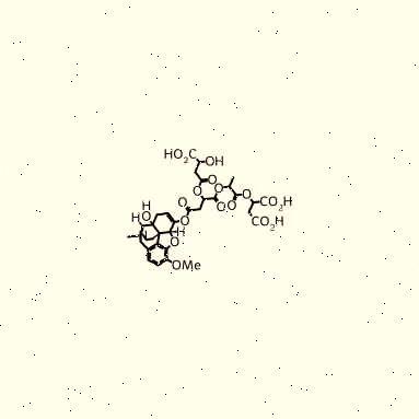 COc1ccc2c3c1O[C@H]1C(OC(=O)CC(OC(=O)CC(O)C(=O)O)C(=O)OC(C)C(=O)OC(CC(=O)O)C(=O)O)=CC[C@@]4(O)[C@@H](C2)N(C)CC[C@]314